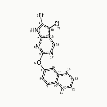 CCc1[nH]c2nc(Oc3ccc4nccnc4c3)ncc2c1Cl